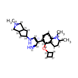 CC1CCc2c(ccc(/C(C=N)=C/NC3CC4CN(C)CC4C3)c2OC2CCC2)N1C